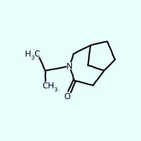 CC(C)N1CC2CCC(CC1=O)C2